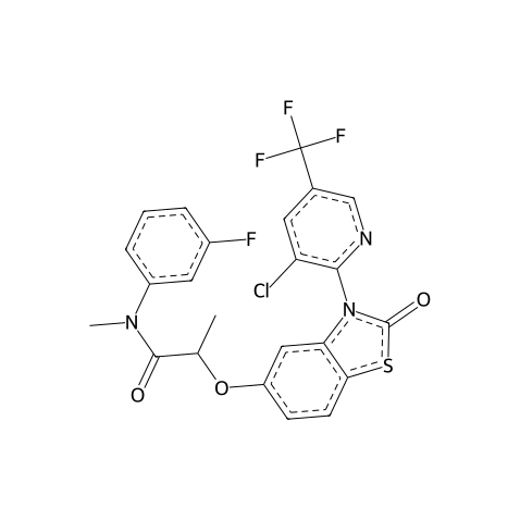 CC(Oc1ccc2sc(=O)n(-c3ncc(C(F)(F)F)cc3Cl)c2c1)C(=O)N(C)c1cccc(F)c1